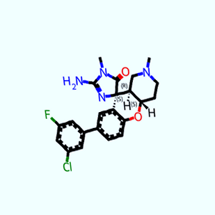 CN1CC[C@@H]2Oc3ccc(-c4cc(F)cc(Cl)c4)cc3[C@@]3(N=C(N)N(C)C3=O)[C@H]2C1